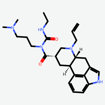 C=CCN1C[C@@H](C(=O)N(CCCN(C)C)C(=O)NCC)C[C@@H]2c3cccc4[nH]cc(c34)C[C@H]21